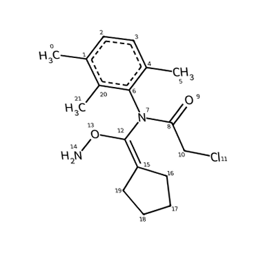 Cc1ccc(C)c(N(C(=O)CCl)C(ON)=C2CCCC2)c1C